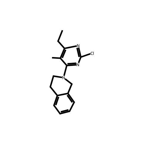 CCc1nc(Cl)nc(N2CCc3ccccc3C2)c1C